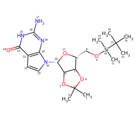 CC1(C)OC2C(O1)[C@@H](CO[Si](C)(C)C(C)(C)C)O[C@H]2n1ccc2c(=O)[nH]c(N)nc21